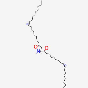 CCCCCCCC/C=C\CCCCCCCC(=O)CC(C)(C(=O)CCCCCCC/C=C\CCCCCCCC)N(C)C